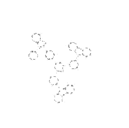 c1ccc(-n2c(-c3ccc(-c4cc(-c5cccc(-n6c7ccccc7c7ccccc76)c5)nc(-c5cccc(-n6c7ccccc7c7ccccc76)c5)c4)cc3)nc3ccccc32)cc1